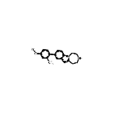 CC(C)Oc1ccc(-c2ccc3c(c2)cc2n3CCNCC2)c(C(F)(F)F)c1